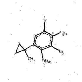 COc1c(C2(C)CC2)cc(Br)c(C)c1Br